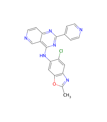 Cc1nc2cc(Cl)c(Nc3nc(-c4ccncc4)nc4ccncc34)cc2o1